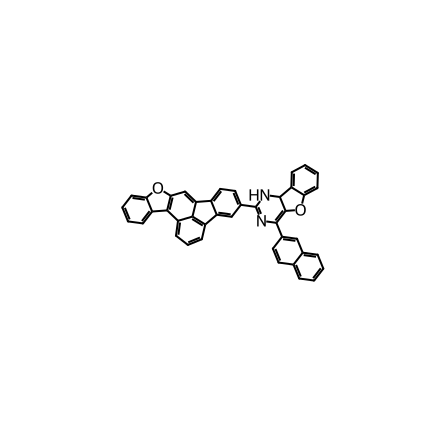 c1ccc2c(c1)OC1=C(c3ccc4ccccc4c3)N=C(c3ccc4c(c3)-c3cccc5c3c-4cc3oc4ccccc4c35)NC12